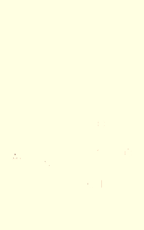 CC(=O)SC[C@@H](C)C(=O)OCc1ccccc1